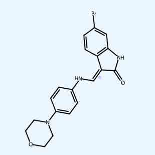 O=C1Nc2cc(Br)ccc2/C1=C\Nc1ccc(N2CCOCC2)cc1